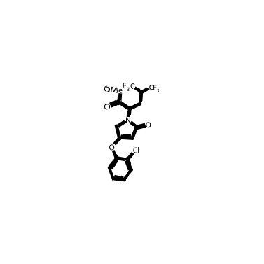 COC(=O)C(CC(C(F)(F)F)C(F)(F)F)N1CC(Oc2ccccc2Cl)=CC1=O